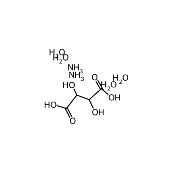 N.N.O.O.O.O.O=C(O)C(O)C(O)C(=O)O